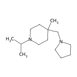 CC(C)N1CCC(C)(CN2CCCC2)CC1